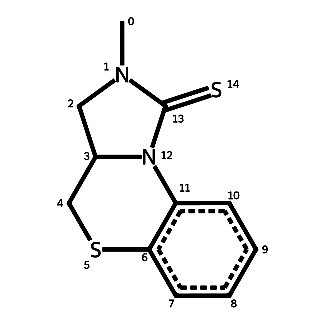 CN1CC2CSc3ccccc3N2C1=S